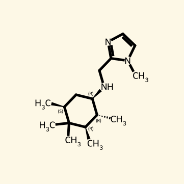 C[C@@H]1[C@@H](C)C(C)(C)[C@@H](C)C[C@H]1NCc1nccn1C